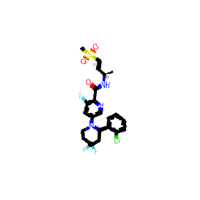 C[C@H](/C=C/S(C)(=O)=O)NC(=O)c1ncc(N2CCC(F)(F)CC2c2ccccc2Cl)cc1F